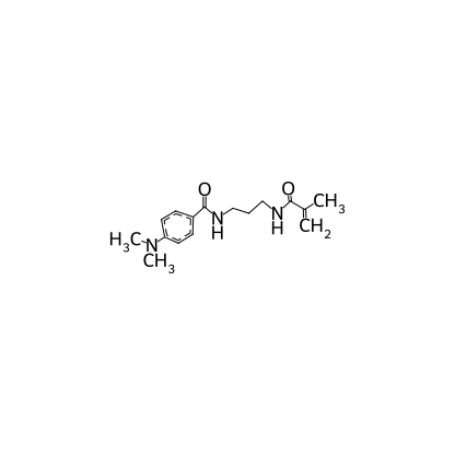 C=C(C)C(=O)NCCCNC(=O)c1ccc(N(C)C)cc1